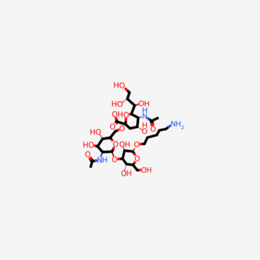 CC(=O)N[C@H]1C(O)[C@H](O)C(CO[C@]2(C(=O)O)C[C@@H](O)[C@@H](NC(C)=O)C([C@H](O)[C@H](O)CO)O2)O[C@H]1OC1[C@@H](O)C(CO)O[C@@H](OCCCCCN)[C@H]1O